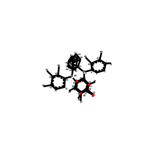 Cc1ccc(P(c2ccc(C)c(C)c2C)[C]23[CH]4[CH]5[CH]6[C]2(P(c2ccc(C)c(C)c2C)c2ccc(C)c(C)c2C)[Ni]54632789[CH]3[CH]2[CH]7[CH]8[CH]39)c(C)c1C